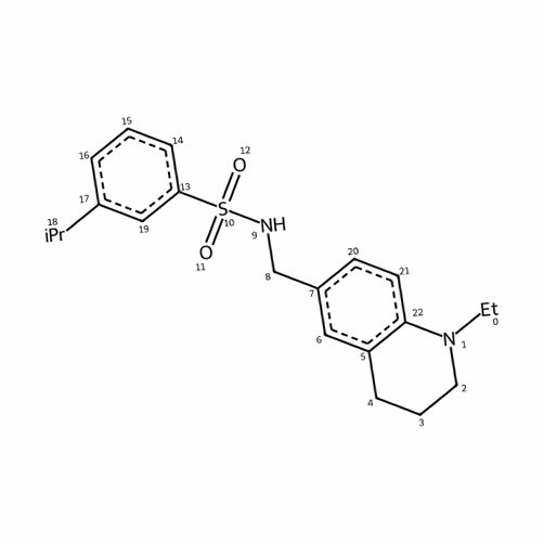 CCN1CCCc2cc(CNS(=O)(=O)c3cccc(C(C)C)c3)ccc21